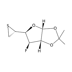 CC1(C)O[C@H]2O[C@H]([C@@H]3CS3)[C@H](F)[C@H]2O1